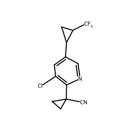 N#CC1(c2ncc(C3CC3C(F)(F)F)cc2Cl)CC1